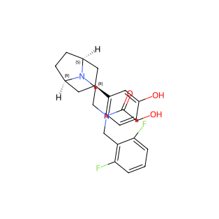 O=C(CO)N(CCN1[C@@H]2CC[C@H]1C[C@@H](c1cccc(O)c1)C2)Cc1c(F)cccc1F